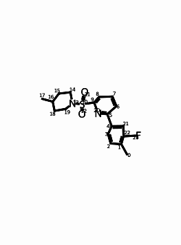 Cc1ccc(-c2cccc(S(=O)(=O)N3CCC(C)CC3)n2)cc1F